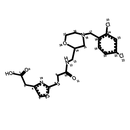 O=C(O)Cc1csc(SCC(=O)NCC2CN(Cc3ccc(Cl)cc3Cl)CCO2)n1